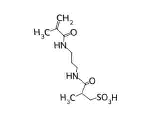 C=C(C)C(=O)NCCCNC(=O)C(C)CS(=O)(=O)O